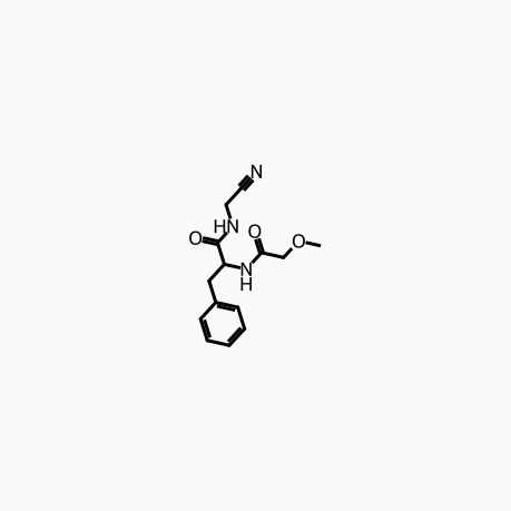 COCC(=O)NC(Cc1ccccc1)C(=O)NCC#N